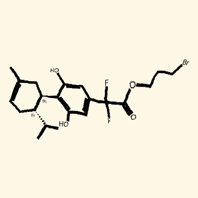 CC1=CC[C@@H](C(C)C)[C@H](c2c(O)cc(C(F)(F)C(=O)OCCCBr)cc2O)C1